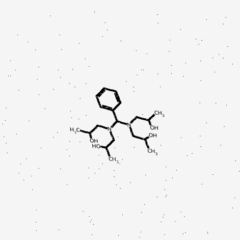 CC(O)CN(CC(C)O)C(c1ccccc1)N(CC(C)O)CC(C)O